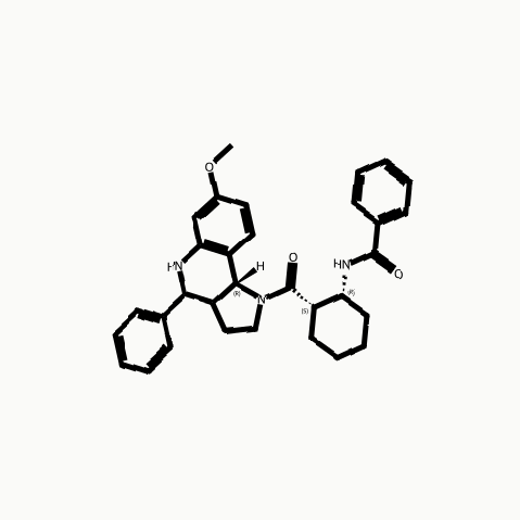 COc1ccc2c(c1)NC(c1ccccc1)C1CCN(C(=O)[C@H]3CCCC[C@H]3NC(=O)c3ccccc3)[C@@H]21